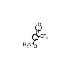 NC(=O)c1ccc(N2CCOCC2)c(C(F)(F)F)c1